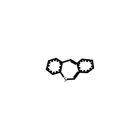 C1=c2ccccc2=Cc2ccccc2S1